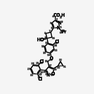 CC(C)n1nc(C(=O)O)cc1C1CC(O)(c2ccc(OCc3c(-c4c(Cl)cccc4Cl)noc3C3CC3)cc2Cl)C1